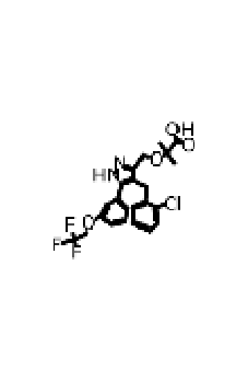 CC(C)(OCc1n[nH]c(-c2cccc(OCC(F)(F)F)c2)c1Cc1ccccc1Cl)C(=O)O